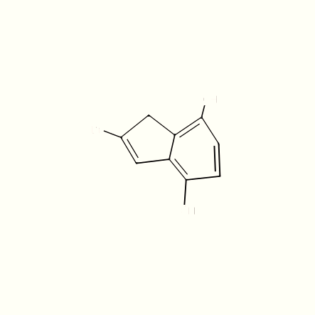 Cc1ccc(C)c2c1C=C(Br)C2